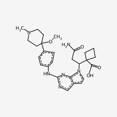 COC1(c2ccc(Nc3ncc4ccn(C(CC(N)=O)C5(C(=O)O)CCC5)c4n3)cc2)CCN(C)CC1